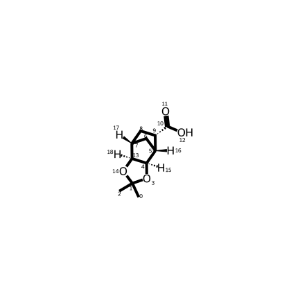 CC1(C)O[C@@H]2[C@@H]3C[C@@H](C[C@@H]3C(=O)O)[C@@H]2O1